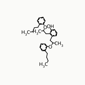 CCCCc1ccccc1OC(C)Cc1cccc(O)c1CC(C)Oc1ccccc1CCCC